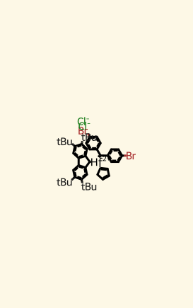 CC(C)(C)c1cc2c(cc1C(C)(C)C)[CH]([Hf+2]([C]1=CC=CC1)=[C](c1ccc(Br)cc1)c1ccc(Br)cc1)c1cc(C(C)(C)C)c(C(C)(C)C)cc1-2.[Cl-].[Cl-]